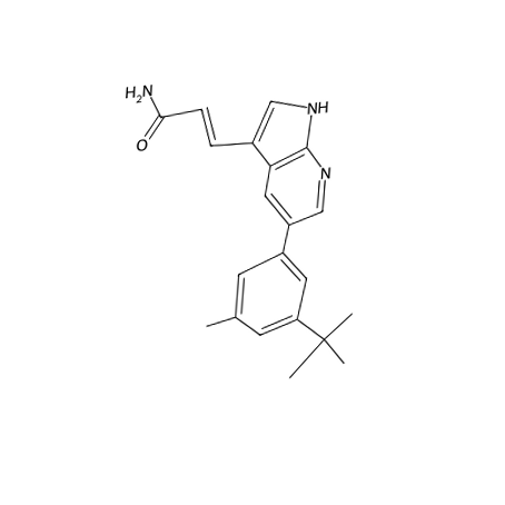 Cc1cc(-c2cnc3[nH]cc(C=CC(N)=O)c3c2)cc(C(C)(C)C)c1